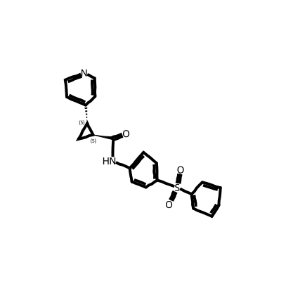 O=C(Nc1ccc(S(=O)(=O)c2ccccc2)cc1)[C@H]1C[C@@H]1c1ccncc1